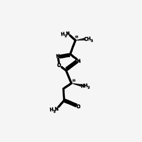 C[C@@H](N)c1noc([C@H](N)CC(N)=O)n1